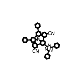 N#Cc1cccc(-c2cc(-c3nc(-c4ccccc4)nc(-c4ccccc4)n3)cc(-c3cccc(C#N)c3)c2-n2c3ccc(-c4ccccc4)cc3c3cc(-c4ccccc4)ccc32)c1